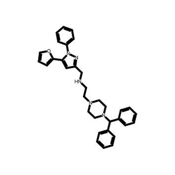 c1ccc(C(c2ccccc2)N2CCN(CCNCc3cc(-c4ccco4)n(-c4ccccc4)n3)CC2)cc1